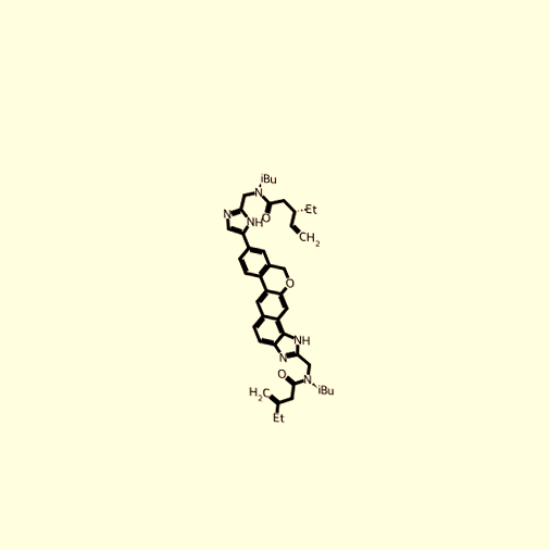 C=C[C@@H](CC)CC(=O)N(Cc1ncc(-c2ccc3c(c2)COc2cc4c(ccc5nc(CN(C(=O)CC(=C)CC)[C@@H](C)CC)[nH]c54)cc2-3)[nH]1)[C@@H](C)CC